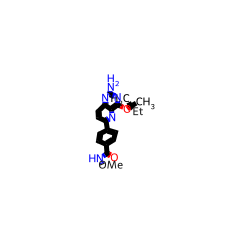 CCC(C)(C)Oc1nc(N)nc2ccc(-c3ccc(C(=O)NOC)cc3)nc12